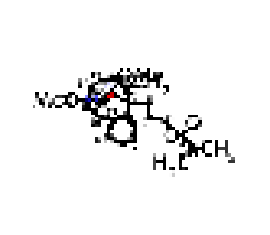 C=C(C)C(=O)OCCCC12C(=C)/C=C\C=C/C(c3ccccc31)c1c(OC)ccc(OC)c12